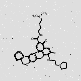 CN(C)CCCCNC(=O)c1cn2c3c(c(NCCN4CCCC4)c(F)cc3c1=O)Oc1cc3c(cc1-2)-c1ccccc1CO3